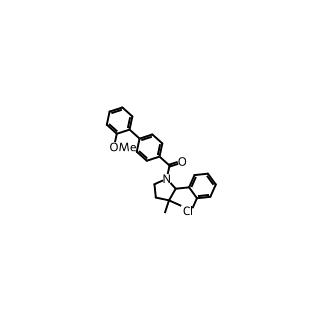 COc1ccccc1-c1ccc(C(=O)N2CCC(C)(C)C2c2ccccc2Cl)cc1